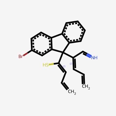 C=C/C=C(\S)C1(/C(C=N)=C/C=C)c2ccccc2-c2ccc(Br)cc21